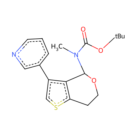 CN(C(=O)OC(C)(C)C)C1OCCc2scc(-c3cccnc3)c21